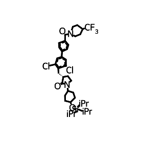 CC(C)[Si](OC1CCC(N2CC[C@@H](Cc3c(Cl)cc(-c4ccc(C(=O)N5CCC(C(F)(F)F)CC5)cc4)cc3Cl)C2=O)CC1)(C(C)C)C(C)C